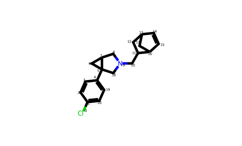 Clc1ccc(C23CC2CN(CC2CC4C=CC2C4)C3)cc1